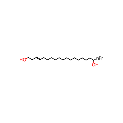 CCCC(O)CCCCCCCCCCCCCC=CCCO